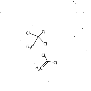 C=C(Cl)Cl.CC(Cl)(Cl)Cl